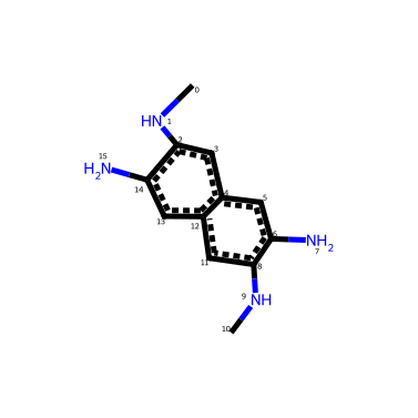 CNc1cc2cc(N)c(NC)cc2cc1N